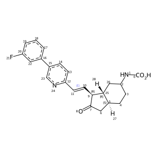 O=C(O)NC1CC[C@H]2CC(=O)[C@@H](/C=C/c3ccc(-c4cccc(F)c4)cn3)[C@@H]2C1